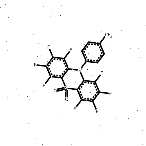 O=S1(=O)c2c(F)c(F)c(F)c(F)c2[S+](c2ccc(C(F)(F)F)cc2)c2c(F)c(F)c(F)c(F)c21